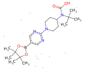 CC(C)(C)N(C(=O)O)C1CCN(c2ncc(B3OC(C)(C)C(C)(C)O3)cn2)CC1